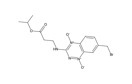 CC(C)OC(=O)CCNc1n[n+]([O-])c2cc(CBr)ccc2[n+]1[O-]